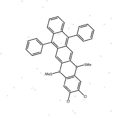 CSB1c2cc(Cl)c(Cl)cc2B(SC)c2cc3c(-c4ccccc4)c4ccccc4c(-c4ccccc4)c3cc21